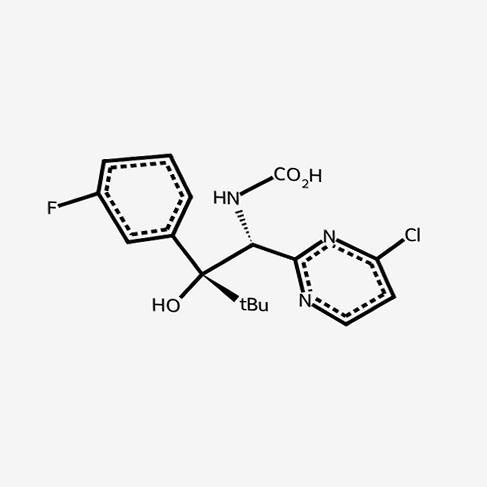 CC(C)(C)[C@@](O)(c1cccc(F)c1)[C@H](NC(=O)O)c1nccc(Cl)n1